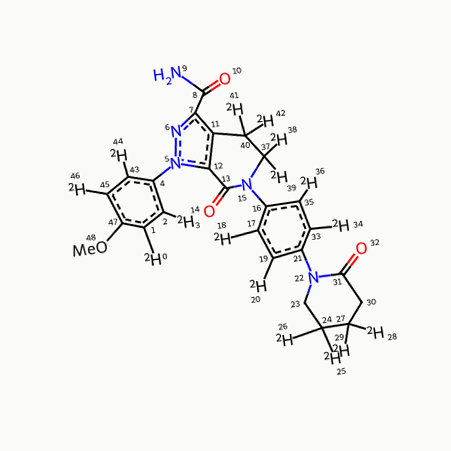 [2H]c1c([2H])c(-n2nc(C(N)=O)c3c2C(=O)N(c2c([2H])c([2H])c(N4CC([2H])([2H])C([2H])([2H])CC4=O)c([2H])c2[2H])C([2H])([2H])C3([2H])[2H])c([2H])c([2H])c1OC